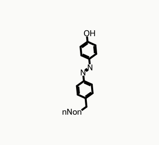 CCCCCCCCCCc1ccc(N=Nc2ccc(O)cc2)cc1